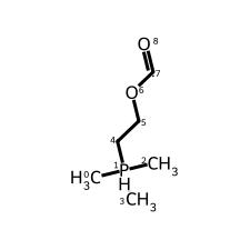 C[PH](C)(C)CCO[C]=O